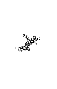 C=CCCCOc1cc(C(=O)NCC)ccc1-n1cc(C(=O)N2CCC(C(N)=O)CC2)nn1